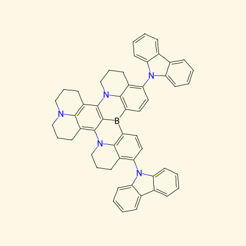 c1ccc2c(c1)c1ccccc1n2-c1ccc2c3c1CCCN3c1c3c4c(c5c1B2c1ccc(-n2c6ccccc6c6ccccc62)c2c1N5CCC2)CCCN4CCC3